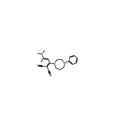 C/C(=C\C(=C(C#N)C#N)N1CCCN(c2ccccc2)CC1)N(C)C